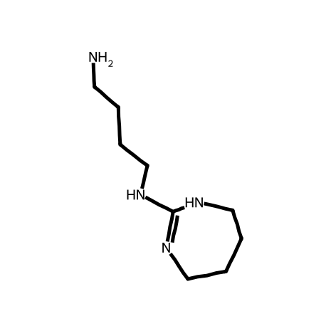 NCCCCNC1=NCCCCN1